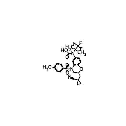 Cc1ccc(S(=O)(=O)N2C[C@@H](CC3(C#N)CC3)Oc3ccc(N(C(=O)O)C(C)(C)C(F)(F)F)cc32)cc1